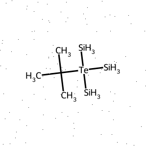 CC(C)(C)[Te]([SiH3])([SiH3])[SiH3]